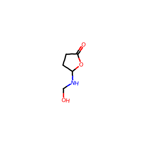 O=C1CCC(NCO)O1